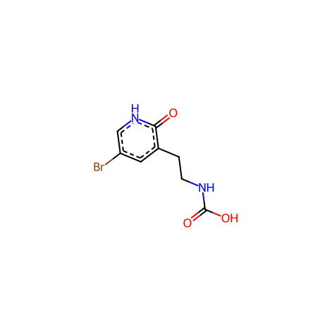 O=C(O)NCCc1cc(Br)c[nH]c1=O